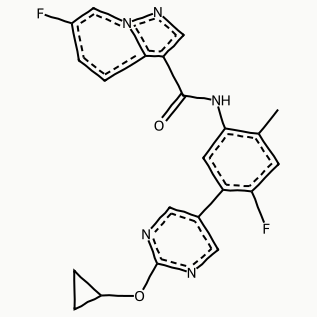 Cc1cc(F)c(-c2cnc(OC3CC3)nc2)cc1NC(=O)c1cnn2cc(F)ccc12